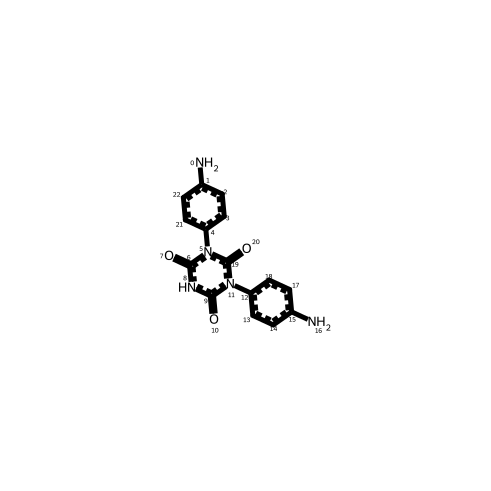 Nc1ccc(-n2c(=O)[nH]c(=O)n(-c3ccc(N)cc3)c2=O)cc1